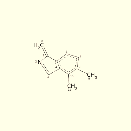 C=C1N=Cc2c1ccc(C)c2C